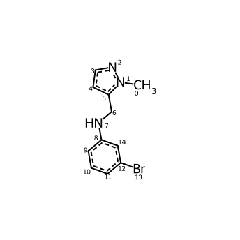 Cn1nccc1CNc1cccc(Br)c1